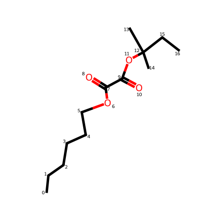 CCCCCCOC(=O)C(=O)OC(C)(C)CC